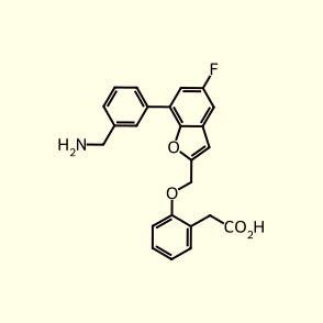 NCc1cccc(-c2cc(F)cc3cc(COc4ccccc4CC(=O)O)oc23)c1